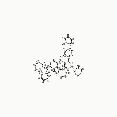 c1ccc(-c2ccc(C(Cc3cccc(-c4ccccc4)c3)c3ccc(-n4c5ccccc5c5ccccc54)c4oc5ccccc5c34)cc2)cc1